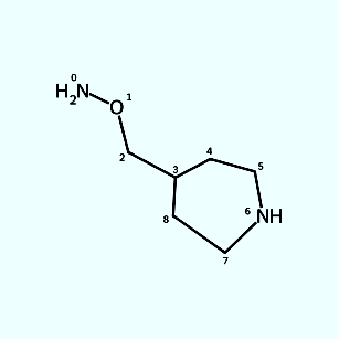 NOCC1CCNCC1